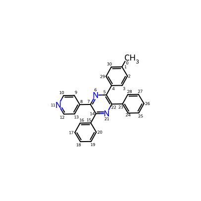 Cc1ccc(-c2nc(-c3ccncc3)c(-c3ccccc3)nc2-c2ccccc2)cc1